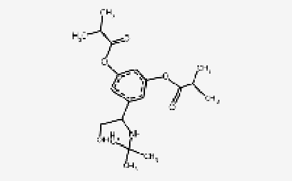 CC(C)C(=O)Oc1cc(OC(=O)C(C)C)cc(C(CO)NC(C)(C)C)c1